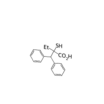 CCC(S)(C(=O)O)C(c1ccccc1)c1ccccc1